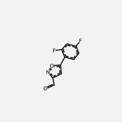 O=Cc1cc(-c2ccc(F)cc2F)on1